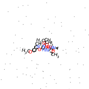 CCC[C@H](NC(=O)[C@@H]1C[C@@H](Oc2nc(C)cc3cc(OC)ccc23)CN1C(=O)OC(C)(C)C)C(O)C(=O)NC1CC1